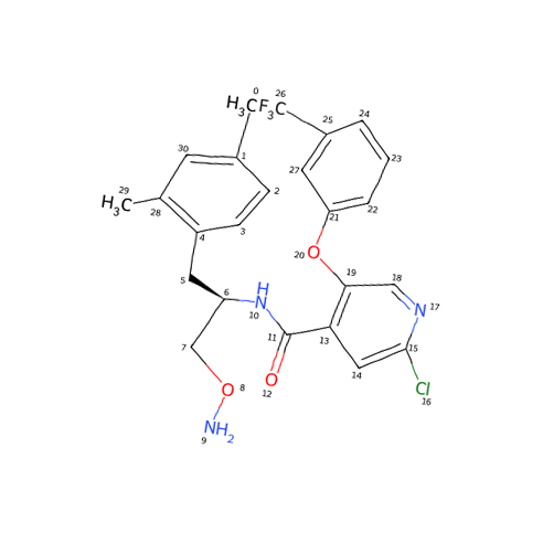 Cc1ccc(C[C@H](CON)NC(=O)c2cc(Cl)ncc2Oc2cccc(C(F)(F)F)c2)c(C)c1